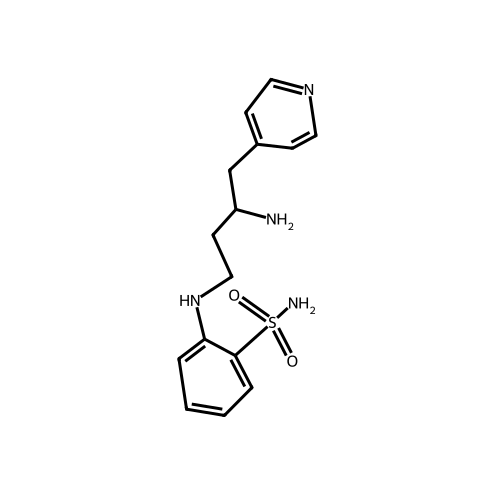 NC(CCNc1ccccc1S(N)(=O)=O)Cc1ccncc1